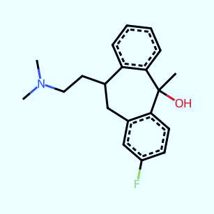 CN(C)CCC1Cc2cc(F)ccc2C(C)(O)c2ccccc21